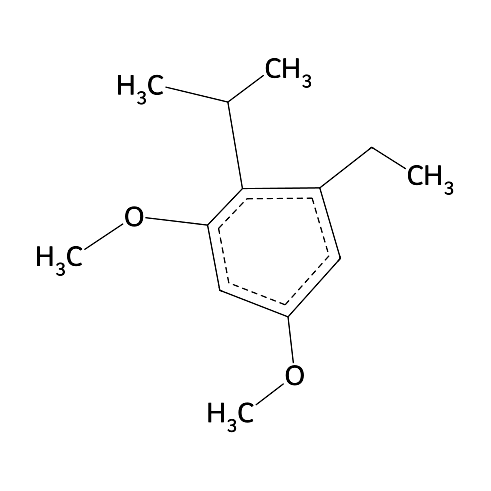 CCc1cc(OC)cc(OC)c1C(C)C